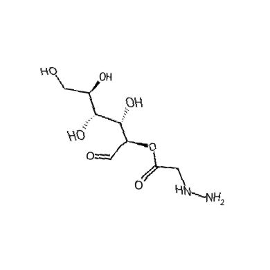 NNCC(=O)O[C@@H](C=O)[C@@H](O)[C@H](O)[C@H](O)CO